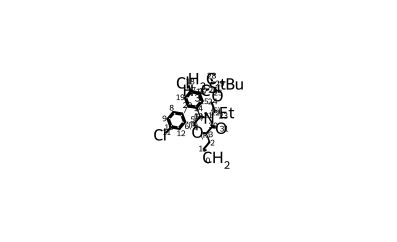 C=CC[C@H]1O[C@H](c2cccc(Cl)c2)[C@@H](c2ccc(Cl)cc2)N([C@@H](CC)CO[Si](C)(C)C(C)(C)C)C1=O